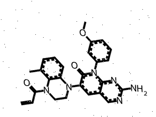 C=CC(=O)N1CCN(c2cc3cnc(N)nc3n(-c3cccc(OC)c3)c2=O)c2cccc(C)c21